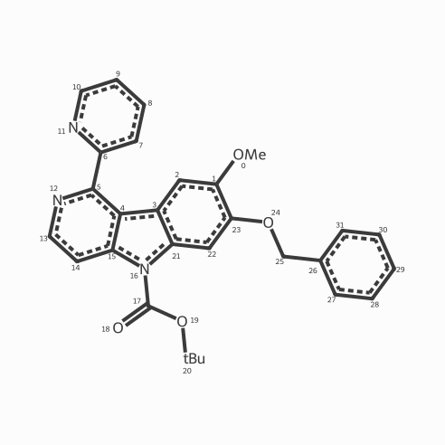 COc1cc2c3c(-c4ccccn4)nccc3n(C(=O)OC(C)(C)C)c2cc1OCc1ccccc1